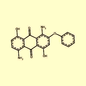 Nc1ccc(O)c2c1C(=O)c1c(O)cc(Oc3ccccc3)c(N)c1C2=O